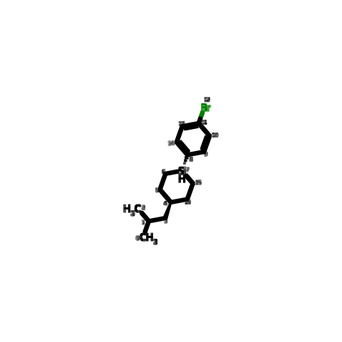 CC(C)C[C@H]1CC[Si@H](c2ccc(Br)cc2)CC1